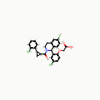 O=C(O)COc1ccc(Cl)cc1C1c2ccc(F)cc2CCN1C(=O)C1CC1c1ccccc1Cl